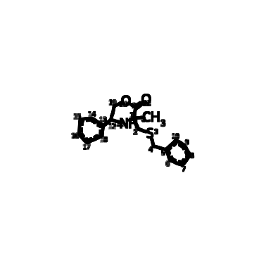 CC1(CSCc2ccccc2)NC(c2ccccc2)COC1=O